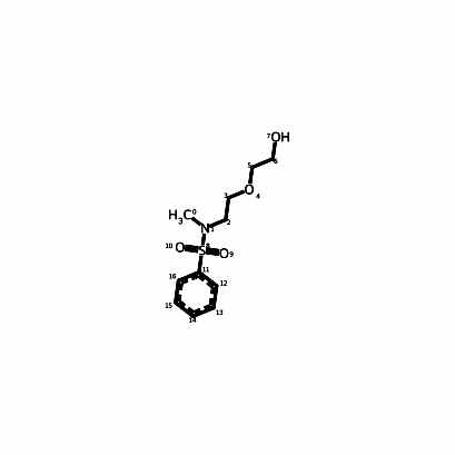 CN(CCOCCO)S(=O)(=O)c1ccccc1